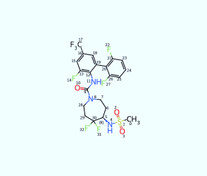 CS(=O)(=O)N[C@@H]1CCN(C(=O)Nc2c(F)cc(C(F)(F)F)cc2-c2c(F)cccc2F)CCC1(F)F